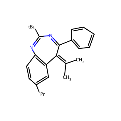 CC(C)=C1C(c2ccccc2)=NC(C(C)(C)C)=Nc2ccc(C(C)C)cc21